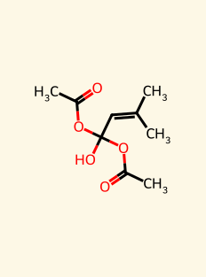 CC(=O)OC(O)(C=C(C)C)OC(C)=O